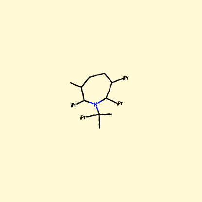 CC(C)C1CCC(C)C(C(C)C)N(C(C)(C)C(C)C)C1C(C)C